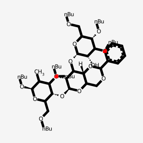 CCCCOCC1O[C@@H](OCCCC)C(C)C(OCCCC)[C@@H]1O[C@@H]1OC2COC(c3ccccc3)O[C@H]2C(O[C@@H]2OC(COCCCC)[C@H](OCCCC)C(OCCCC)[C@@H]2O)[C@H]1OCCCC